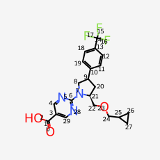 O=C(O)c1cnc(N2CC(c3ccc(C(F)(F)F)cc3)C[C@H]2COCC2CC2)nc1